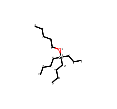 CCCCC[O][Sn]([CH2]CC)([CH2]CCC)[CH2]CCC